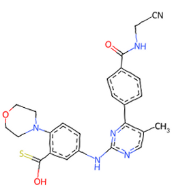 Cc1cnc(Nc2ccc(N3CCOCC3)c(C(O)=S)c2)nc1-c1ccc(C(=O)NCC#N)cc1